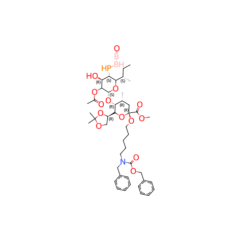 CC[C@H](C)C1O[C@H](O[C@H]2C([C@H]3COC(C)(C)O3)O[C@@](OCCCCCN(Cc3ccccc3)C(=O)OCc3ccccc3)(C(=O)OC)C[C@H]2C)C(OC(C)=O)[C@@H](O)[C@@H]1PBB=O